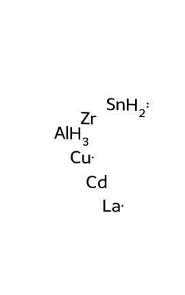 [AlH3].[Cd].[Cu].[La].[SnH2].[Zr]